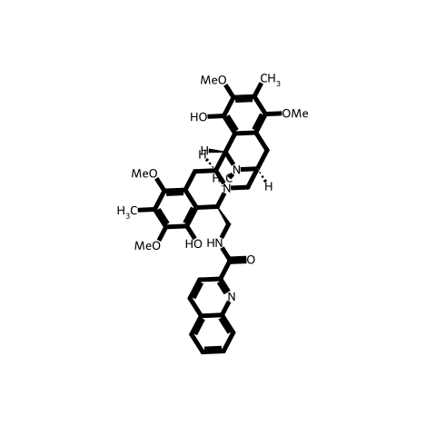 COc1c(C)c(OC)c2c(c1O)[C@H]1[C@@H]3Cc4c(OC)c(C)c(OC)c(O)c4[C@H](CNC(=O)c4ccc5ccccc5n4)N3C[C@H](C2)N1C